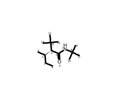 CCC(C)[C@@H](C(=O)NC(C)(C)C)C(C)(C)C